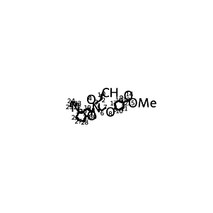 C/C=C/C(=O)N(CCOc1ccc(C(=O)OC)cc1)c1cc2c(N3CCC3)cccc2o1